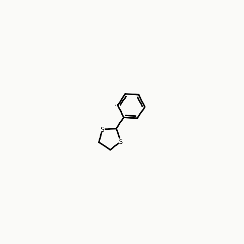 [c]1ccccc1C1SCCS1